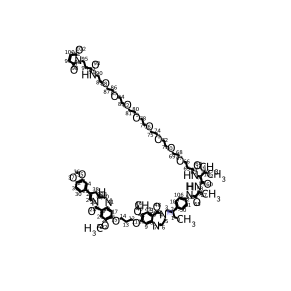 CC/C(=C\N1CC=Nc2cc(OCCCOc3cc4c(cc3OC)C(=O)N3C=C(c5ccc6c(c5)OCO6)C[C@H]3C=N4)c(OC)cc2C1=O)c1ccc(NC(=O)[C@H](C)NC(=O)C(NC(=O)CCOCCOCCOCCOCCOCCOCCOCCOCCNC(=O)CCN2C(=O)C=CC2=O)C(C)C)cc1